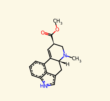 COC(=O)[C@@H]1C=C2c3cccc4[nH]cc(c34)C[C@H]2N(C)C1